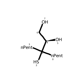 CCCCCC(S)(CCCCC)[C@H](O)CO